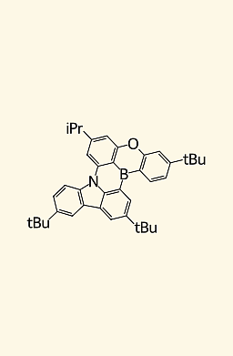 CC(C)c1cc2c3c(c1)-n1c4ccc(C(C)(C)C)cc4c4cc(C(C)(C)C)cc(c41)B3c1ccc(C(C)(C)C)cc1O2